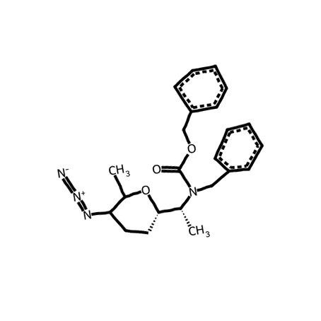 CC1O[C@H]([C@@H](C)N(Cc2ccccc2)C(=O)OCc2ccccc2)CCC1N=[N+]=[N-]